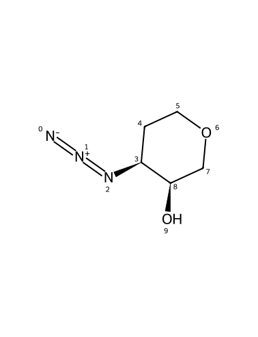 [N-]=[N+]=N[C@H]1CCOC[C@H]1O